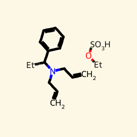 C=CCN(CC=C)C(CC)c1ccccc1.CCOS(=O)(=O)O